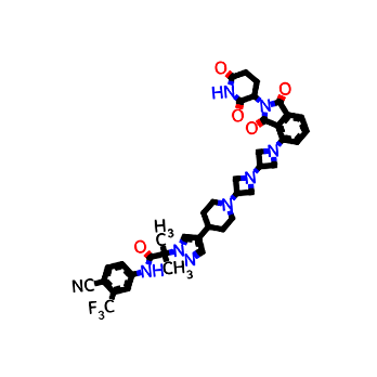 CC(C)(C(=O)Nc1ccc(C#N)c(C(F)(F)F)c1)n1cc(C2CCN(C3CN(C4CN(c5cccc6c5C(=O)N(C5CCC(=O)NC5=O)C6=O)C4)C3)CC2)cn1